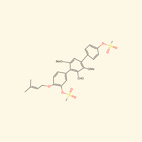 COc1cc(-c2ccc(OS(C)(=O)=O)cc2)c(OC)c(C=O)c1-c1ccc(OCC=C(C)C)c(OS(C)(=O)=O)c1